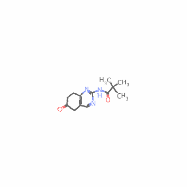 CC(C)(C)C(=O)Nc1ncc2c(n1)CCC(=O)C2